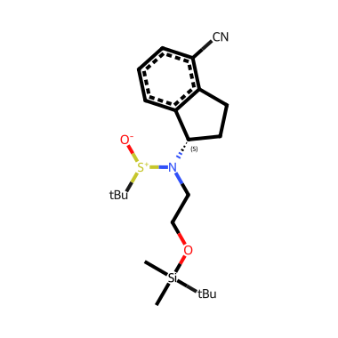 CC(C)(C)[S+]([O-])N(CCO[Si](C)(C)C(C)(C)C)[C@H]1CCc2c(C#N)cccc21